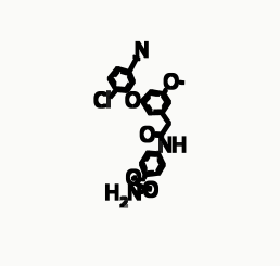 COc1cc(CC(=O)Nc2ccc(S(N)(=O)=O)cc2)cc(Oc2cc(C#N)ccc2Cl)c1